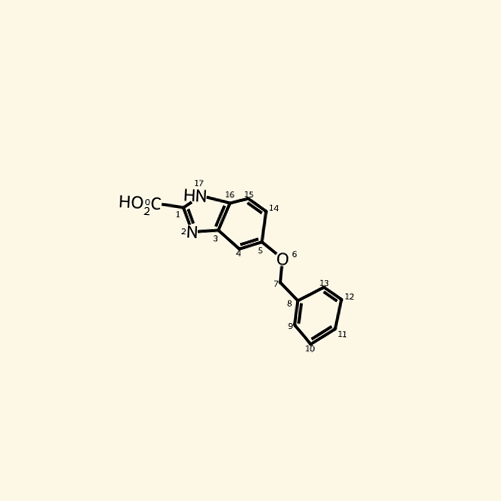 O=C(O)c1nc2cc(OCc3ccccc3)ccc2[nH]1